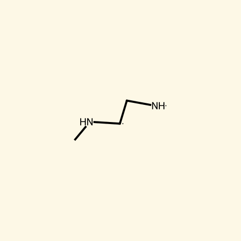 CN[CH]C[NH]